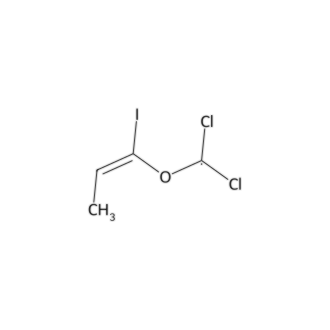 C/C=C(/I)O[C](Cl)Cl